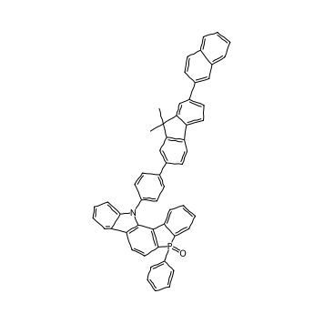 CC1(C)c2cc(-c3ccc(-n4c5ccccc5c5ccc6c(c54)-c4ccccc4P6(=O)c4ccccc4)cc3)ccc2-c2ccc(-c3ccc4ccccc4c3)cc21